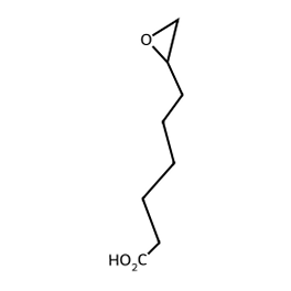 O=C(O)CCCCCC1CO1